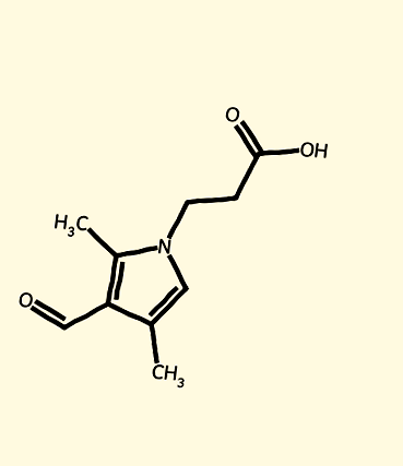 Cc1cn(CCC(=O)O)c(C)c1C=O